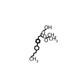 C=C(C)C(=O)OCC(COCCO)Cc1ccc(C2CCC(CCCCC)CC2)cc1